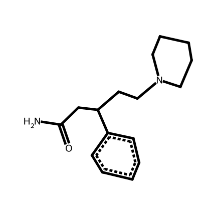 NC(=O)CC(CCN1CCCCC1)c1ccccc1